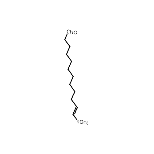 CCCCCCCCC=CCCCCCCCCCC=O